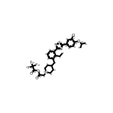 CCc1c(CC2CCN(CC(=O)OC(=O)C(F)(F)F)CC2)cccc1-c1nsc(-c2ccc(OC(C)C)c(Cl)c2)n1